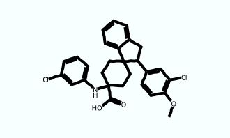 COc1ccc(C2Cc3ccccc3C23CCC(Nc2cccc(Cl)c2)(C(=O)O)CC3)cc1Cl